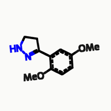 COc1ccc(OC)c(C2=NNCC2)c1